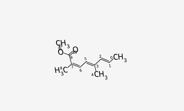 C/C=C/C(C)=C/C=C(/C)C(=O)OC